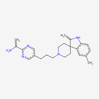 C=C(N)c1ncc(CCCN2CCC3(CC2)C(=C)Nc2ccc(C)cc23)cn1